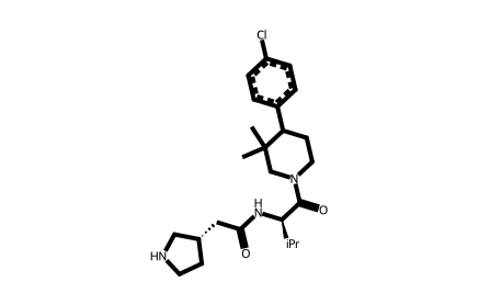 CC(C)[C@@H](NC(=O)C[C@@H]1CCNC1)C(=O)N1CCC(c2ccc(Cl)cc2)C(C)(C)C1